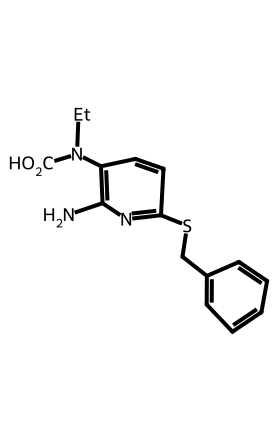 CCN(C(=O)O)c1ccc(SCc2ccccc2)nc1N